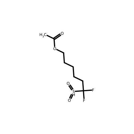 CC(=O)OCCCCCC(F)(F)[SH](=O)=O